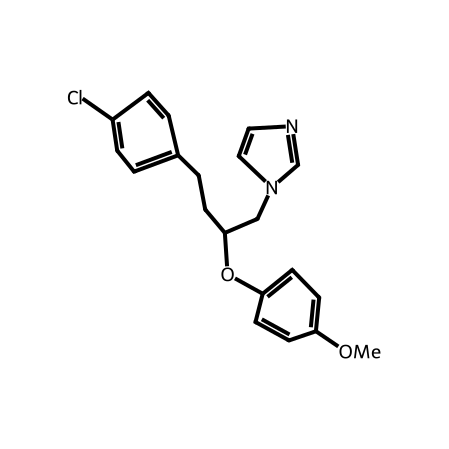 COc1ccc(OC(CCc2ccc(Cl)cc2)Cn2ccnc2)cc1